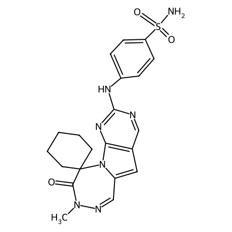 CN1N=Cc2cc3cnc(Nc4ccc(S(N)(=O)=O)cc4)nc3n2C2(CCCCC2)C1=O